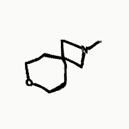 [CH2]N1CC2(CCOCC2)C1